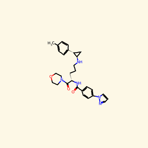 Cc1ccc([C@@H]2C[C@H]2NCCC[C@H](NC(=O)c2ccc(-n3cccn3)cc2)C(=O)N2CCOCC2)cc1